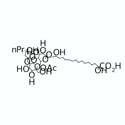 CCCC(O)CC(=O)OC1[C@H](O[C@@H]2C(COC(C)=O)O[C@@H](OCC(O)CCCCCCCCCCCCC(O)C(=O)O)C(O)[C@H]2O)OC(CO)[C@@H](O)[C@@H]1O